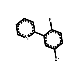 Fc1ccc(Br)cc1-c1ccccn1